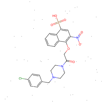 O=C(COc1c([N+](=O)[O-])cc(S(=O)(=O)O)c2ccccc12)N1CCN(Cc2ccc(Cl)cc2)CC1